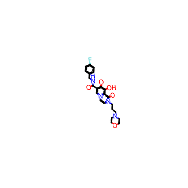 O=C(NCc1ccc(F)cc1)c1cn2ccn(CCCN3CCOCC3)c(=O)c2c(O)c1=O